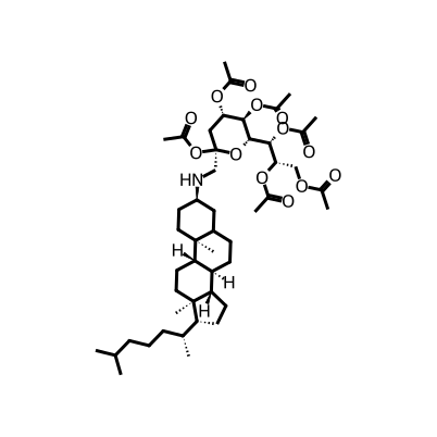 CC(=O)OC[C@H](OC(C)=O)[C@@H](OC(C)=O)[C@@H]1O[C@@](CN[C@@H]2CC[C@@]3(C)C(CC[C@H]4[C@@H]5CC[C@H]([C@H](C)CCCC(C)C)[C@@]5(C)CC[C@@H]43)C2)(OC(C)=O)C[C@H](OC(C)=O)[C@H]1OC(C)=O